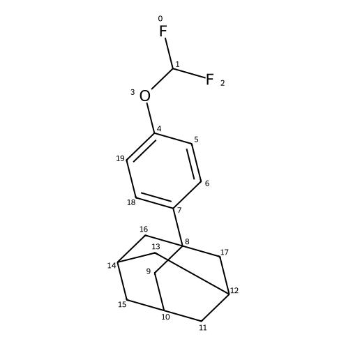 FC(F)Oc1ccc(C23CC4CC(CC(C4)C2)C3)cc1